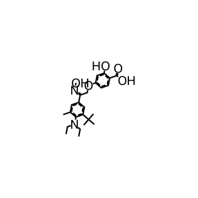 CCN(CC)c1c(C)cc(C(COc2ccc(C(=O)O)c(O)c2)=NO)cc1C(C)(C)C